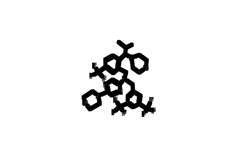 CC(C)C(c1ccc(C(F)(F)F)cc1CN(Cc1cc(C(F)(F)F)cc(C(F)(F)F)c1)c1cnc(N2CCOCC2)cn1)N1CCOCC1